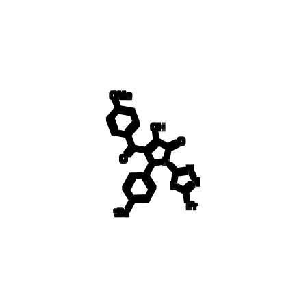 COc1ccc(C(=O)C2=C(O)C(=O)N(c3nnc(C(C)C)s3)C2c2ccc(C(C)(C)C)cc2)cc1